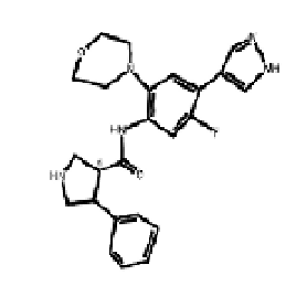 O=C(Nc1cc(F)c(-c2cn[nH]c2)cc1N1CCOCC1)[C@@H]1CNCC1c1ccccc1